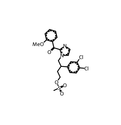 COc1ccccc1C(=O)c1nccn1CC(CCOS(C)(=O)=O)c1ccc(Cl)c(Cl)c1